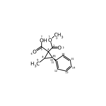 COC(=O)C1(C(=O)O)C(C)[C@@H]1c1ccccc1